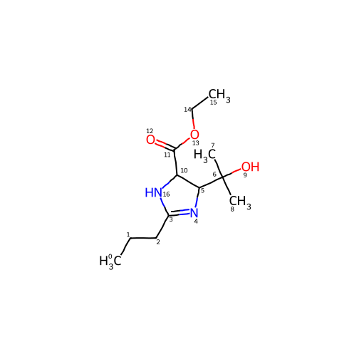 CCCC1=NC(C(C)(C)O)C(C(=O)OCC)N1